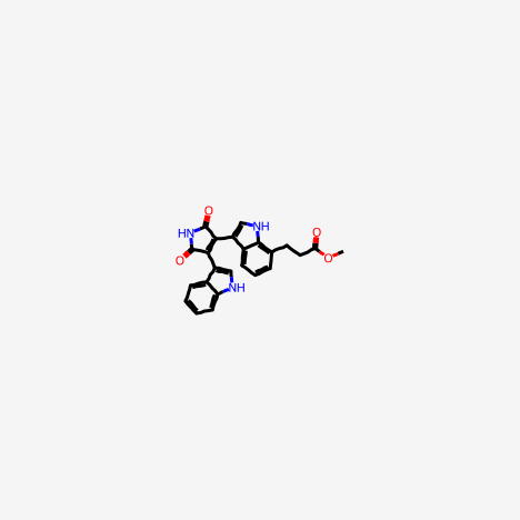 COC(=O)CCc1cccc2c(C3=C(c4c[nH]c5ccccc45)C(=O)NC3=O)c[nH]c12